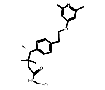 Cc1cc(OCCc2ccc([C@@H](C)C(C)(C)CC(=O)NC=O)cc2)cc(C)n1